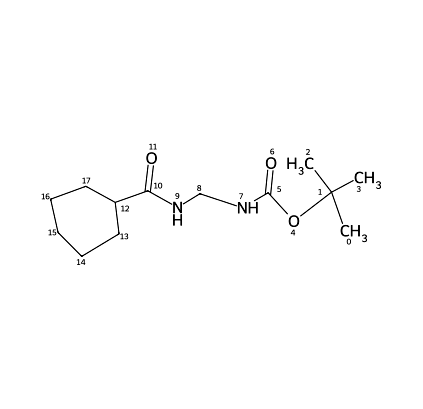 CC(C)(C)OC(=O)NCNC(=O)C1CCCCC1